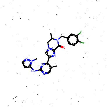 Cc1cnc(Nc2ccnn2C)nc1-c1cn2c(n1)C(=O)N(Cc1ccc(F)c(F)c1)C(C)C2